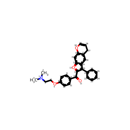 CN(C)CCOc1ccc(C(=O)c2oc3cc4c(cc3c2-c2ccccc2)CC=CO4)cc1